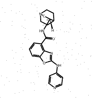 O=C(N[C@@H]1CN2CCC1CC2)c1cccc2oc(Nc3ccncc3)nc12